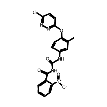 Cc1cc(NC(=O)NC(=O)c2ccccc2[N+](=O)[O-])ccc1Oc1ccc(Cl)nn1